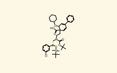 CC(C)(C)OC(=O)N(CCC1(C(=O)O)C=CC(c2ccccc2)=CC1OC1CCCCC1)C[C@H](O[Si](C)(C)C(C)(C)C)c1cccc(Cl)c1